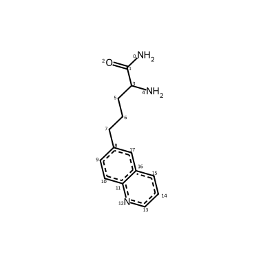 NC(=O)C(N)CCCc1ccc2ncccc2c1